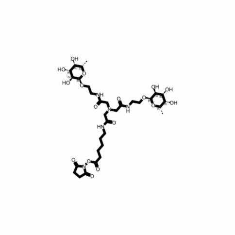 C[C@@H]1O[C@@H](OCCNC(=O)CN(CC(=O)NCCCCCC(=O)ON2C(=O)CCC2=O)CC(=O)NCCO[C@@H]2O[C@@H](C)[C@@H](O)[C@@H](O)[C@@H]2O)[C@@H](O)[C@H](O)[C@@H]1O